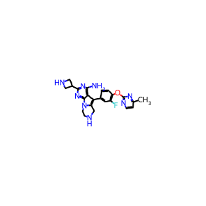 Cc1ccnc(Oc2ccc(-c3c4n(c5nc(C6CNC6)nc(N)c35)CCNC4)cc2F)n1